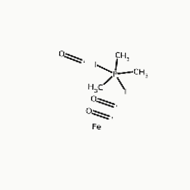 CP(C)(C)(I)I.[C]=O.[C]=O.[C]=O.[Fe]